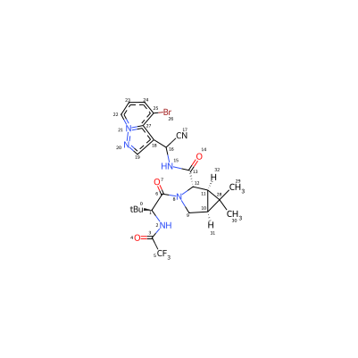 CC(C)(C)[C@H](NC(=O)C(F)(F)F)C(=O)N1C[C@H]2[C@@H]([C@H]1C(=O)NC(C#N)c1cnn3cccc(Br)c13)C2(C)C